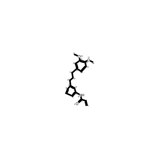 C=CC(=O)Nc1cccc(CCCc2ccc(OC)c(OC)c2)c1